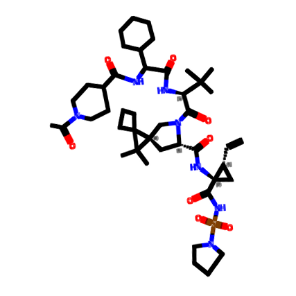 C=C[C@@H]1C[C@]1(NC(=O)[C@@H]1C[C@@]2(CN1C(=O)[C@@H](NC(=O)C(NC(=O)C1CCN(C(C)=O)CC1)C1CCCCC1)C(C)(C)C)C(C)(C)C21CCC1)C(=O)NS(=O)(=O)N1CCCC1